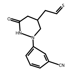 N#Cc1cccc(N2CC(CC=S)CC(=O)N2)c1